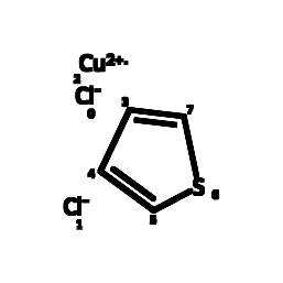 [Cl-].[Cl-].[Cu+2].c1ccsc1